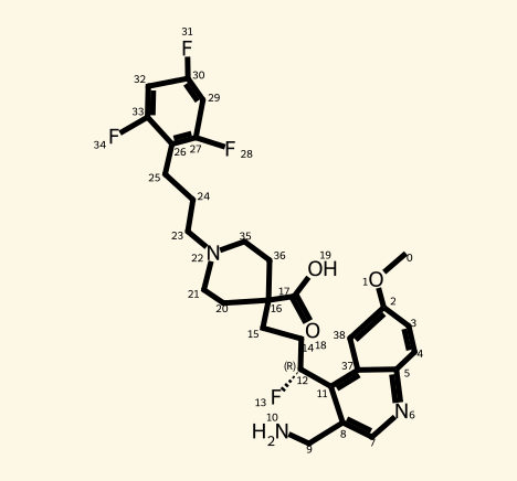 COc1ccc2ncc(CN)c([C@H](F)CCC3(C(=O)O)CCN(CCCc4c(F)cc(F)cc4F)CC3)c2c1